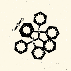 [Cl][Ru][Cl].c1ccc(C([PH](c2ccccc2)(c2ccccc2)c2ccccc2)[PH](c2ccccc2)(c2ccccc2)c2ccccc2)cc1